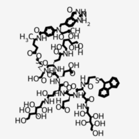 C#CCN(Cc1ccc2nc(N)[nH]c(=O)c2c1)c1ccc(C(=O)N[C@H](C)CCC(=O)OSSC[C@H](NC(=O)[C@H](CCC(=O)NC[C@H](O)[C@@H](O)[C@H](O)[C@H](O)CO)NC(=O)[C@H](CCC(=O)O)NC(=O)[C@H](CCC(O)NC[C@H](O)[C@@H](O)[C@H](O)[C@H](O)CO)NC(=O)[C@H](CCC(=O)O)NC(=O)[C@H](CCC(=O)NC[C@H](O)[C@@H](O)[C@H](O)[C@H](O)CO)NC(=O)CCSCC2c3ccccc3-c3ccccc32)C(=O)O)cc1